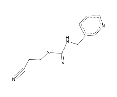 N#CCCSC(=S)NCc1cccnc1